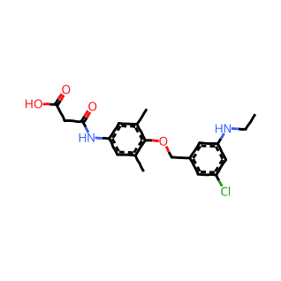 CCNc1cc(Cl)cc(COc2c(C)cc(NC(=O)CC(=O)O)cc2C)c1